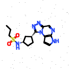 CCCS(=O)(=O)N[C@H]1CC[C@@H](c2nnc3cnc4[nH]ccc4n23)C1